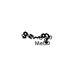 COC(=O)OCN1C(=O)CCc2ccc(OCCCCN3CCN(c4cccc5sccc45)CC3)cc21